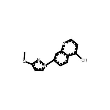 COc1ccn(-c2ccc3c(O)ccnc3c2)n1